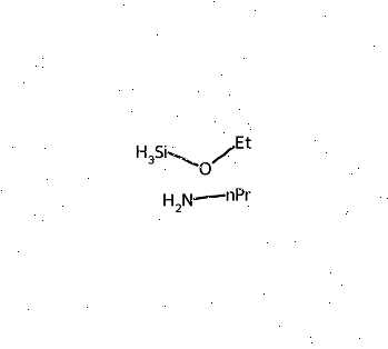 CCCN.CCO[SiH3]